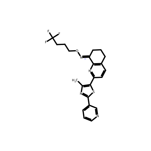 Cc1nc(-c2cccnc2)sc1-c1ccc2c(n1)/C(=N/OCCCC(F)(F)F)CCC2